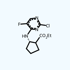 CCOC(=O)C1CCC[C@@H]1Nc1nc(Cl)ncc1F